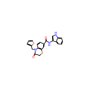 O=C(Nc1c[nH]c2ccccc12)c1ccc2c(c1)SCC(=O)N2Cc1cccs1